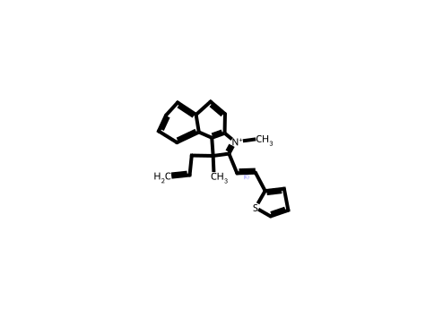 C=CCC1(C)C(/C=C/c2cccs2)=[N+](C)c2ccc3ccccc3c21